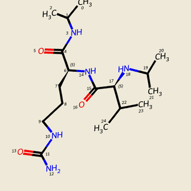 CC(C)NC(=O)[C@H](CCCNC(N)=O)NC(=O)[C@@H](NC(C)C)C(C)C